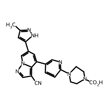 Cc1cc(-c2cc(-c3ccc(N4CCN(C(=O)O)CC4)nc3)c3c(C#N)cnn3c2)[nH]n1